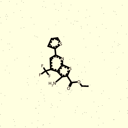 CCOC(=O)c1sc2nc(-c3cccs3)cc(C(F)(F)F)c2c1N